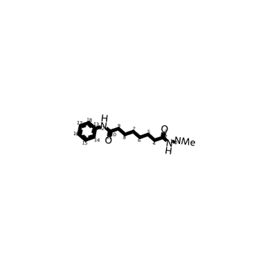 CNNC(=O)CCCCCCC(=O)Nc1ccccc1